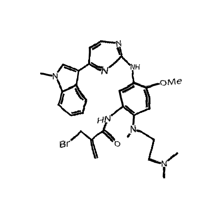 C=C(CBr)C(=O)Nc1cc(Nc2nccc(-c3cn(C)c4ccccc34)n2)c(OC)cc1N(C)CCN(C)C